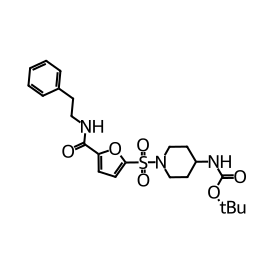 CC(C)(C)OC(=O)NC1CCN(S(=O)(=O)c2ccc(C(=O)NCCc3ccccc3)o2)CC1